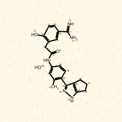 Cc1cc(NC(=O)Cc2cc(C(=N)N)ccc2O)ccc1-c1n[nH]c2c1CCC2.Cl